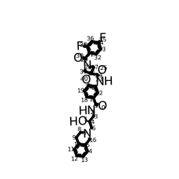 O=C(NC[C@H](O)CN1CCc2ccccc2C1)c1ccc2c(c1)NC(=O)C1(CN(C(=O)c3ccc(F)cc3F)C1)O2